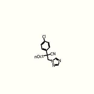 CCCCCCCCC(C#N)(Cn1cncn1)c1ccc(Cl)cc1